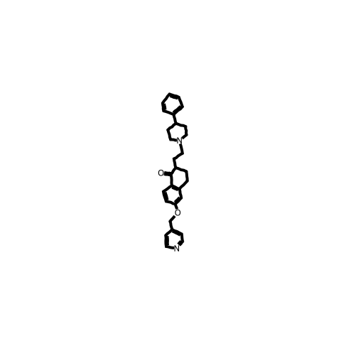 O=C1c2ccc(OCc3ccncc3)cc2CCC1CCN1CCC(c2ccccc2)CC1